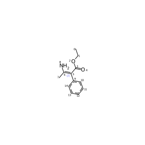 CCOC(=O)/C(=C(/C)N)c1ccccc1